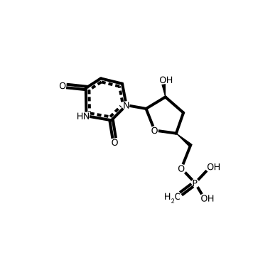 C=P(O)(O)OC[C@@H]1C[C@H](O)C(n2ccc(=O)[nH]c2=O)O1